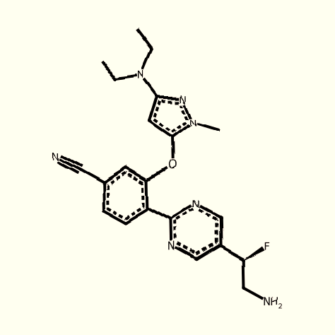 CCN(CC)c1cc(Oc2cc(C#N)ccc2-c2ncc([C@@H](F)CN)cn2)n(C)n1